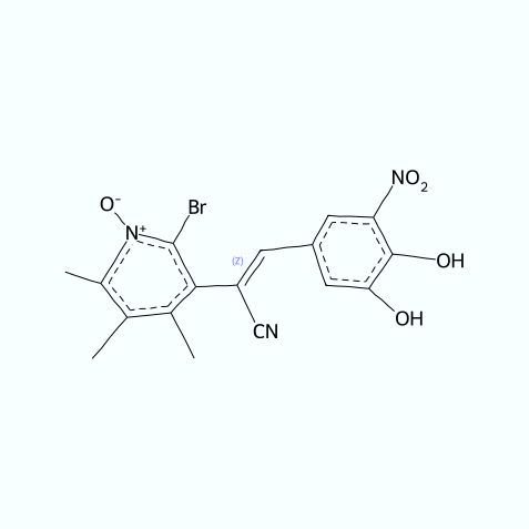 Cc1c(C)c(C)[n+]([O-])c(Br)c1/C(C#N)=C/c1cc(O)c(O)c([N+](=O)[O-])c1